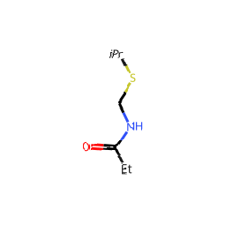 CCC(=O)NCSC(C)C